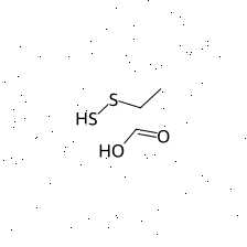 CCSS.O=CO